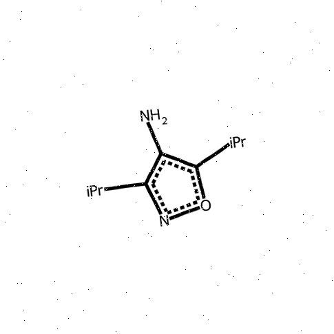 CC(C)c1noc(C(C)C)c1N